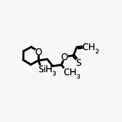 C=CC(=S)OC(C)CCC1([SiH3])CCCCO1